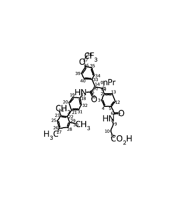 CCC[C@H](c1ccc(C(=O)NCCC(=O)O)cc1)[C@@H](C(=O)Nc1ccc(-c2c(C)cc(C)cc2C)cc1)c1ccc(OC(F)(F)F)cc1